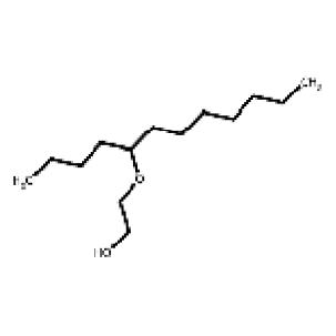 CCCCCCCC(CCCC)OCCO